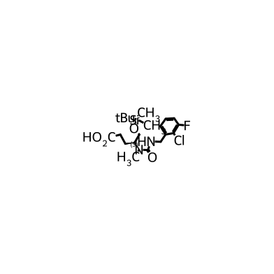 CN(C(=O)NCc1cccc(F)c1Cl)[C@@H](CCC(=O)O)CO[Si](C)(C)C(C)(C)C